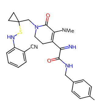 CNC1=C(C(=N)C(=O)NCc2ccc(C#N)cc2)CCN(CC2(SNc3ccccc3C#N)CC2)C1=O